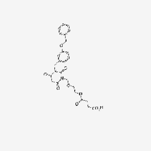 O=C(O)CCC(=O)OCCOCN1C(=O)CC(=O)N(Cc2cccc(OCc3ccccc3)c2)C1=O